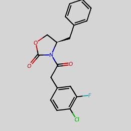 O=C(Cc1ccc(Cl)c(F)c1)N1C(=O)OC[C@H]1Cc1ccccc1